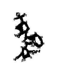 Oc1cc(C(F)(F)F)ccc1-c1nc(-c2cc(F)ccc2O)n2ccccc12